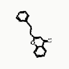 O=c1cc(CCc2ccccc2)oc2ccccc12